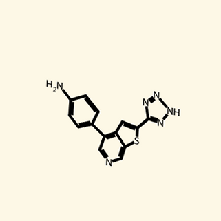 Nc1ccc(-c2cncc3sc(-c4nn[nH]n4)cc23)cc1